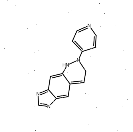 C1=Nc2cc3c(cc2=N1)NN(c1ccncc1)CC=3